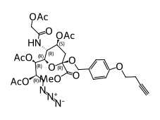 C#CCCOc1ccc(CO[C@]2(C(=O)OC)C[C@H](OC(C)=O)[C@@H](NC(=O)COC(C)=O)[C@H]([C@H](OC(C)=O)[C@@H](CN=[N+]=[N-])OC(C)=O)O2)cc1